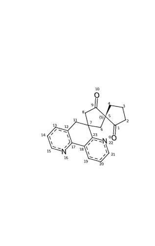 O=C1CCC[C@]12CC1(CC2=O)Cc2cccnc2-c2cccnc21